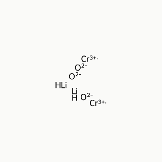 [Cr+3].[Cr+3].[LiH].[LiH].[O-2].[O-2].[O-2]